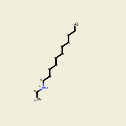 CC(C)CCCCCCCCCCNCC(C)C